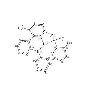 CCC(C)(Pc1ccc(C)cc1CN(c1ccccc1)c1ccccc1)c1ccccc1O